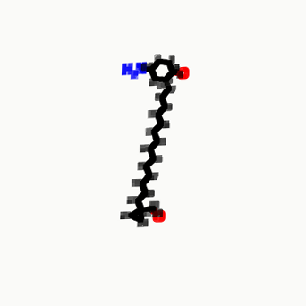 NC1CCC(=O)[C@@H](CCCCCCCCCCCCCCC2(C=O)CC2)C1